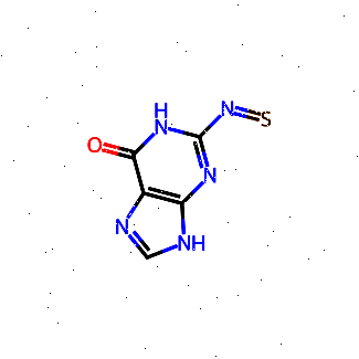 O=c1[nH]c(N=S)nc2[nH]cnc12